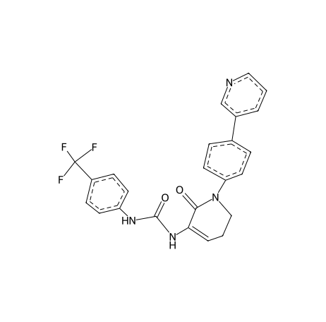 O=C(NC1=CCCN(c2ccc(-c3cccnc3)cc2)C1=O)Nc1ccc(C(F)(F)F)cc1